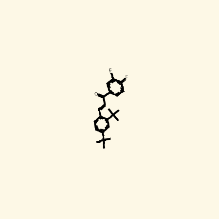 CC(C)(C)c1ccc(/C=C/C(=O)c2ccc(F)c(F)c2)c(C(C)(C)C)c1